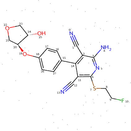 N#Cc1c(N)nc(SCCF)c(C#N)c1-c1ccc(O[C@H]2COC[C@@H]2O)cc1